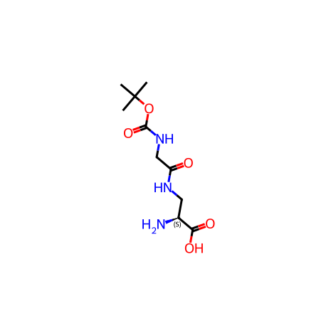 CC(C)(C)OC(=O)NCC(=O)NC[C@H](N)C(=O)O